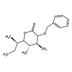 CC[C@@H](C)C1OC(=O)C(OCc2ccccc2)[C@@H](C)[C@@H]1C